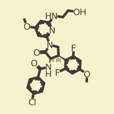 COc1cc(NCCO)nc(N2C[C@@H](c3c(F)cc(OC)cc3F)[C@H](NC(=O)c3ccc(Cl)cc3)C2=O)c1